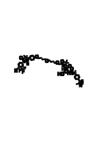 Cc1ncsc1-c1ccc([C@H](C)NC(=O)[C@@H]2C[C@@H](O)CN2C(=O)[C@@H](NC(=O)COCCCCOCCCCOc2ccc(N3C(=S)N(c4ccc(C#N)c(C(F)(F)F)c4)C(=O)C3(C)C)cc2)C(C)(C)C)cc1